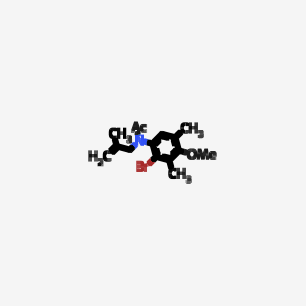 C=C(C)CN(C(C)=O)c1cc(C)c(OC)c(C)c1Br